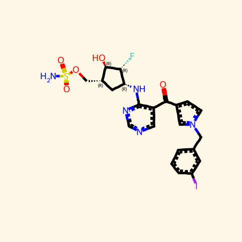 NS(=O)(=O)OC[C@H]1C[C@@H](Nc2ncncc2C(=O)c2ccn(Cc3cccc(I)c3)c2)[C@@H](F)[C@@H]1O